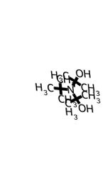 CC(C)(C)N(C(C)(C)O)C(C)(C)O